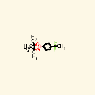 CC(F)(F)c1ccc(B2OC(C)(C)C(C)(C)O2)cc1